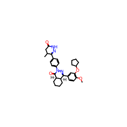 COc1ccc(C2=NN(c3ccc(C4=NNC(=O)CC4C)cc3)C(=O)[C@@H]3CCCC[C@H]23)cc1OC1CCCC1